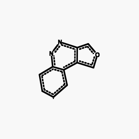 [c]1ccc2nnc3cocc3c2c1